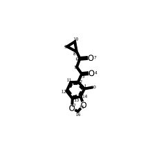 Cc1c(C(=O)CC(=O)C2CC2)ccc2c1OCO2